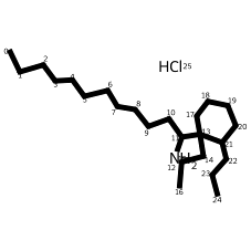 CCCCCCCCCCCC(N)C1(CCC)CCCCC1CCC.Cl